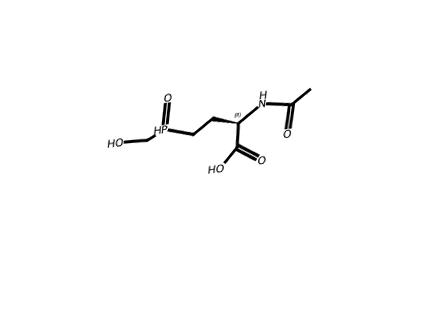 CC(=O)N[C@H](CC[PH](=O)CO)C(=O)O